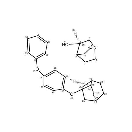 O[C@H]1CN2CCC1CC2.c1ccc(Oc2ccc(O[C@@H]3CN4CCC3CC4)cc2)cc1